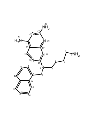 NCCCCN(Cc1cccc2ccccc12)c1ncc2c(N)nc(N)nc2n1